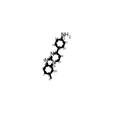 Cc1ccc2nc3nc(-c4ccc(N)cc4)ccn3c2c1